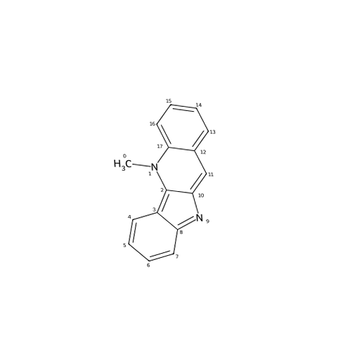 Cn1c2c3ccccc3nc-2cc2ccccc21